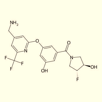 NCc1cc(Oc2cc(O)cc(C(=O)N3C[C@@H](O)[C@H](F)C3)c2)nc(C(F)(F)F)c1